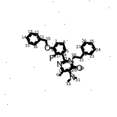 Cc1nc(-c2cccc(OCc3ccccc3)c2F)n(CCc2ccccc2)c(=O)c1N(C)C